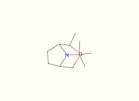 CC1OCC2CCC1N2C(C)(C)C